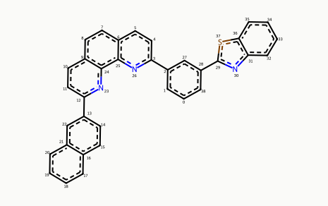 c1cc(-c2ccc3ccc4ccc(-c5ccc6ccccc6c5)nc4c3n2)cc(-c2nc3ccccc3s2)c1